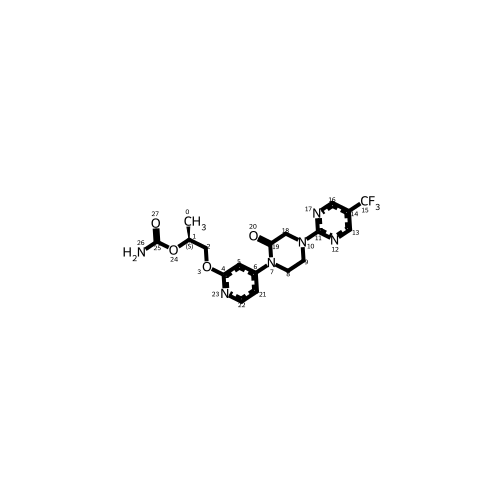 C[C@@H](COc1cc(N2CCN(c3ncc(C(F)(F)F)cn3)CC2=O)ccn1)OC(N)=O